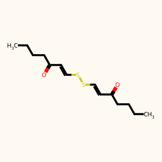 CCCCC(=O)C=CSSC=CC(=O)CCCC